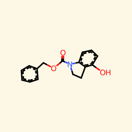 O=C(OCc1ccccc1)N1CCc2c(O)cccc21